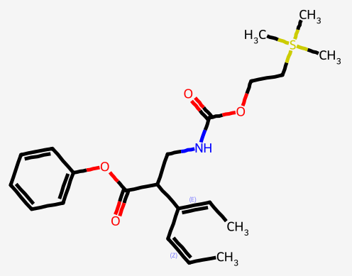 C/C=C\C(=C/C)C(CNC(=O)OCCS(C)(C)C)C(=O)Oc1ccccc1